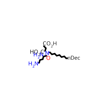 CCCCCCCCCCCCCCCCCCN(C(=O)[C@H](N)CCCN)[C@@H](CCC(=O)O)C(=O)O